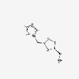 OC[C@@H]1CO[C@H](Cn2cncn2)C1